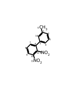 Cc1cccc(-c2cccc([N+](=O)[O-])c2[N+](=O)[O-])c1